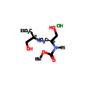 CCN(C(=O)OC(C)(C)C)[C@@H](CO)C(=O)O.CCOC(=O)[C@@H](N)CO.Cl